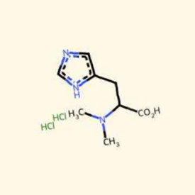 CN(C)C(Cc1cnc[nH]1)C(=O)O.Cl.Cl